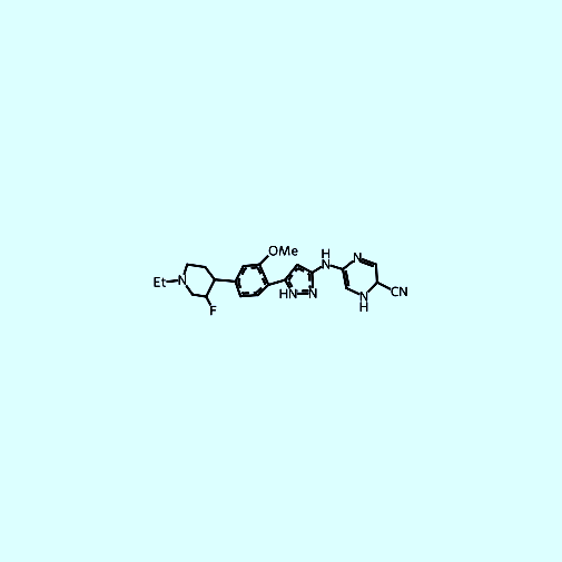 CCN1CCC(c2ccc(-c3cc(NC4=CNC(C#N)C=N4)n[nH]3)c(OC)c2)C(F)C1